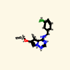 CCOC(=O)Oc1cn2ncnc(NCc3cccc(Br)c3)c2c1CC